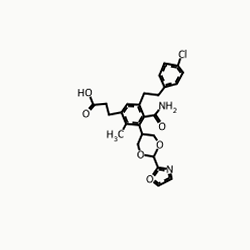 Cc1c(CCC(=O)O)cc(CCc2ccc(Cl)cc2)c(C(N)=O)c1C1COC(c2ncco2)OC1